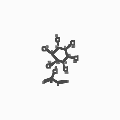 C=CC(=C)Cl.Cl[C@H]1[C@H](Cl)[C@@H](Cl)[C@@H](Cl)[C@H](Cl)[C@H]1Cl